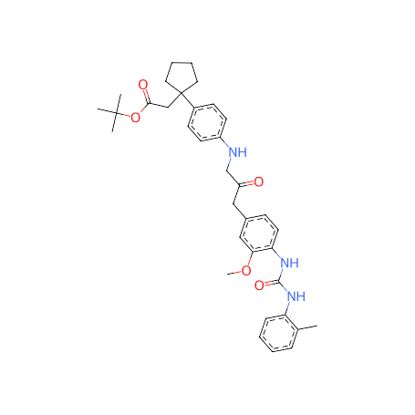 COc1cc(CC(=O)CNc2ccc(C3(CC(=O)OC(C)(C)C)CCCC3)cc2)ccc1NC(=O)Nc1ccccc1C